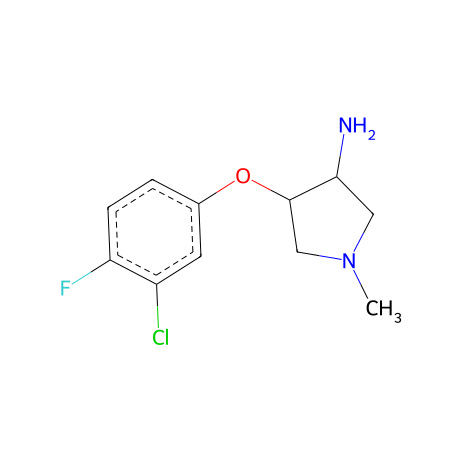 CN1CC(N)C(Oc2ccc(F)c(Cl)c2)C1